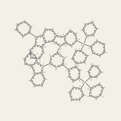 c1ccc(-n2c3ccccc3c3c2ccc2c4ccc([Si](c5ccccc5)(c5ccccc5)c5ccccc5)cc4n(-c4nc(-c5ccc([Si](c6ccccc6)(c6ccccc6)c6ccccc6)cc5)nc(-n5c6ccccc6c6ccccc65)n4)c23)cc1